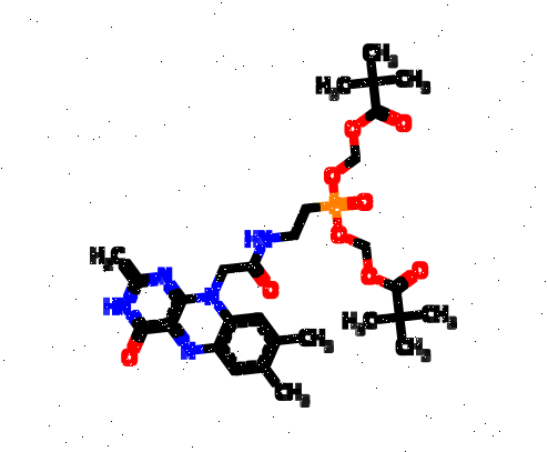 C=c1nc2c(c(=O)[nH]1)=Nc1cc(C)c(C)cc1N2CC(=O)NCCP(=O)(OCOC(=O)C(C)(C)C)OCOC(=O)C(C)(C)C